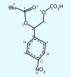 CC(C)(C)C(=O)OC(COC(=O)O)c1ccc([N+](=O)[O-])cc1